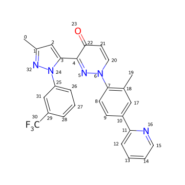 Cc1cc(-c2nn(-c3ccc(-c4ccccn4)cc3C)ccc2=O)n(-c2cccc(C(F)(F)F)c2)n1